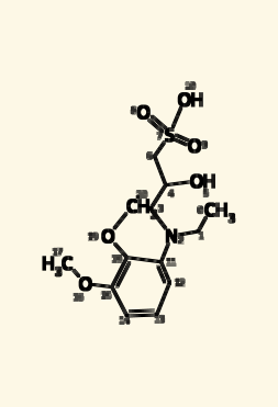 CCN(CC(O)CS(=O)(=O)O)c1cccc(OC)c1OC